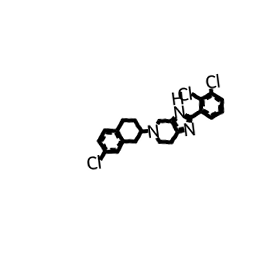 Clc1ccc2c(c1)CC(N1CCc3nc(-c4cccc(Cl)c4Cl)[nH]c3C1)CC2